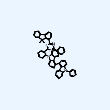 CC1(C)c2ccccc2-c2cccc(-c3nc(-c4ccccc4)nc(-c4ccccc4-n4c5ccccc5c5c(-c6cccc7c6c6ccccc6n7-c6ccccc6)cccc54)n3)c21